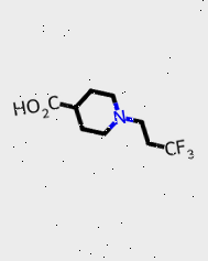 O=C(O)C1CCN(CCC(F)(F)F)CC1